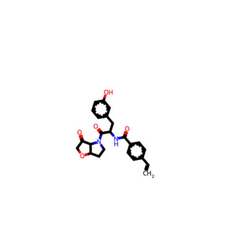 C=Cc1ccc(C(=O)NC(Cc2cccc(O)c2)C(=O)N2CCC3OCC(=O)C32)cc1